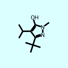 CC(C)c1c(C(C)(C)C)nn(C)c1O